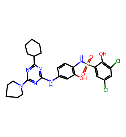 O=S(=O)(Nc1ccc(Nc2nc(C3CCCCC3)nc(N3CCCCC3)n2)cc1O)c1cc(Cl)cc(Cl)c1O